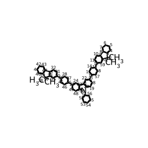 CC1(C)c2ccccc2-c2ccc(-c3ccc(-c4ccc5c(c4)c4cc(-c6ccc(-c7ccc8c(c7)C(C)(C)c7ccccc7-8)cc6)ccc4n5-c4ccccc4)cc3)cc21